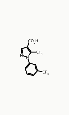 O=C(O)c1cnn(-c2cccc(C(F)(F)F)c2)c1C(F)(F)F